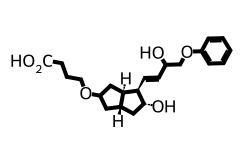 O=C(O)CCCOC1C[C@H]2C[C@@H](O)[C@H](C=CC(O)COc3ccccc3)[C@@H]2C1